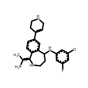 C/C(N)=C1/NCCC(Nc2cc(F)cc(Cl)c2)c2cc(C3=CCNCC3)ccc21